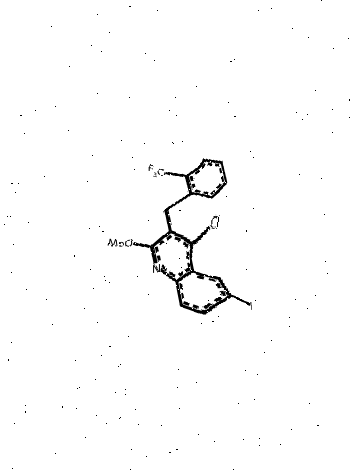 COc1nc2ccc(I)cc2c(Cl)c1Cc1ccccc1C(F)(F)F